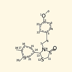 COc1ccc(CCN2C(=O)CSC2c2ccc(C)c(C)c2)cc1